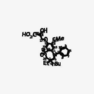 CCCCC1(CC)CN(c2ccccc2)c2cc(SC)c(OCC(O)C(=O)O)cc2S(=O)(=O)C1